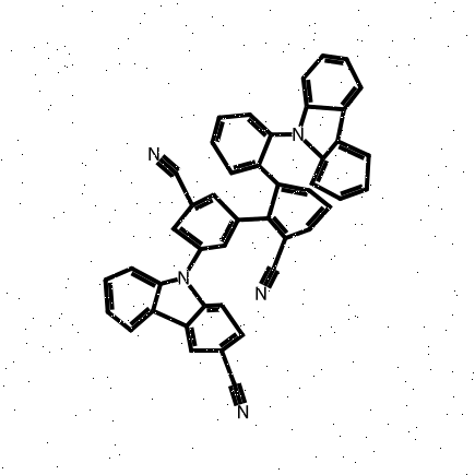 N#Cc1cc(-c2c(C#N)cccc2-c2ccccc2-n2c3ccccc3c3ccccc32)cc(-n2c3ccccc3c3cc(C#N)ccc32)c1